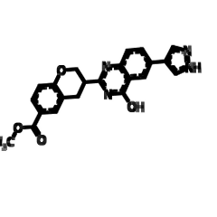 COC(=O)c1ccc2c(c1)CC(c1nc(O)c3cc(-c4cn[nH]c4)ccc3n1)CO2